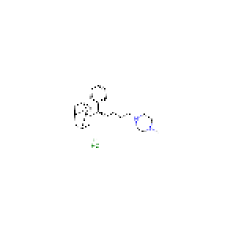 CN1CCN(CCCC=C(c2ccccc2)C23CC4CC(CC(C4)C2)C3)CC1.Cl.Cl